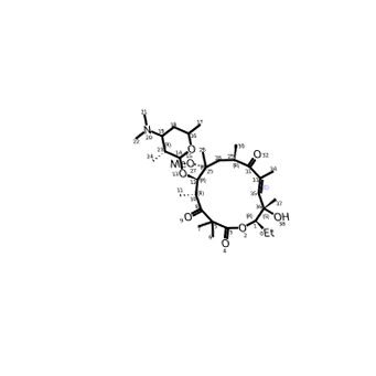 CC[C@H]1OC(=O)C(C)(C)C(=O)[C@H](C)[C@@H](OC2OC(C)CC(N(C)C)[C@H]2C)[C@](C)(OC)C[C@@H](C)C(=O)/C(C)=C/[C@]1(C)O